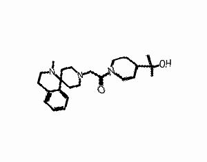 CN1CCc2ccccc2C12CCN(CC(=O)N1CCC(C(C)(C)O)CC1)CC2